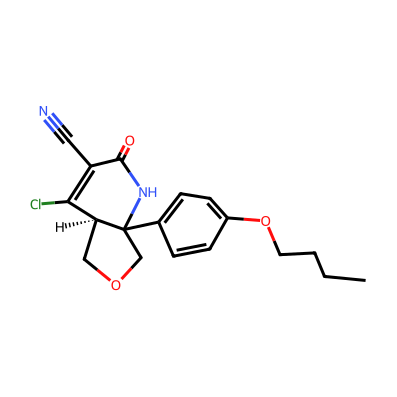 CCCCOc1ccc(C23COC[C@H]2C(Cl)=C(C#N)C(=O)N3)cc1